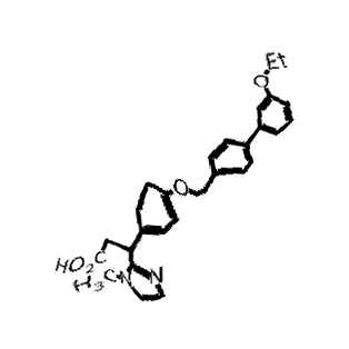 CCOc1cccc(-c2ccc(COc3ccc(C(CC(=O)O)c4nccn4C)cc3)cc2)c1